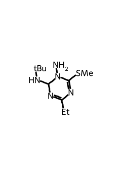 CCC1=NC(NC(C)(C)C)N(N)C(SC)=N1